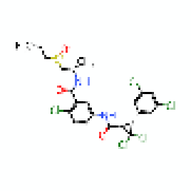 C[C@H](C[S+]([O-])CCC(F)(F)F)NC(=O)c1cc(NC(=O)[C@H]2[C@H](c3cc(Cl)cc(Cl)c3)C2(Cl)Cl)ccc1Cl